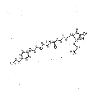 CSCC1NC(=O)NC1CCCCCC(=O)NCCOCCOc1ccc(CCCl)cc1